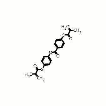 C=C(C)C(=O)Sc1ccc(OC(=O)c2ccc(SC(=O)C(=C)C)cc2)cc1